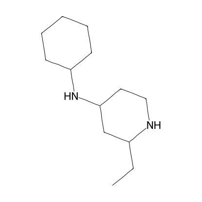 CCC1CC(NC2CCCCC2)CCN1